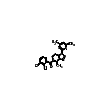 Cc1cc(C)nc(N2N=NC3C(C)N(C(=O)c4cccc(Cl)c4Cl)CCC32)n1